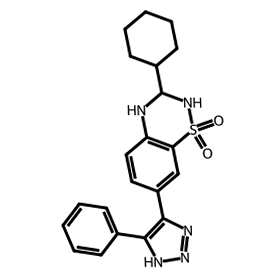 O=S1(=O)NC(C2CCCCC2)Nc2ccc(-c3nn[nH]c3-c3ccccc3)cc21